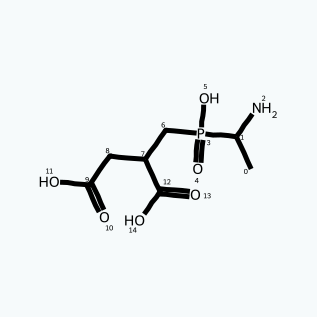 CC(N)P(=O)(O)CC(CC(=O)O)C(=O)O